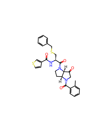 Cc1ccccc1C(=O)N1CC(=O)[C@@H]2[C@H]1CCN2C(=O)[C@H](CSCc1ccccc1)NC(=O)c1ccsc1